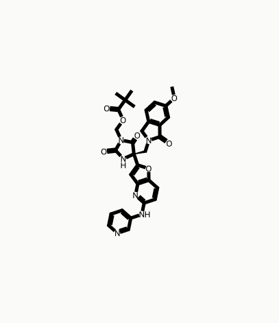 COc1ccc2c(c1)C(=O)N(C[C@@]1(c3cc4nc(Nc5cccnc5)ccc4o3)NC(=O)N(COC(=O)C(C)(C)C)C1=O)C2